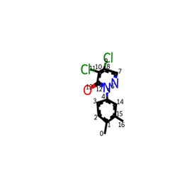 Cc1ccc(-n2ncc(Cl)c(Cl)c2=O)cc1C